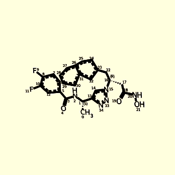 C[C@H](NC(=O)c1ccc(F)c(F)c1)c1cn([C@@H](CC(=O)NO)Cc2ccc3ccccc3c2)nn1